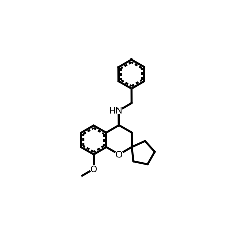 COc1cccc2c1OC1(CCCC1)CC2NCc1ccccc1